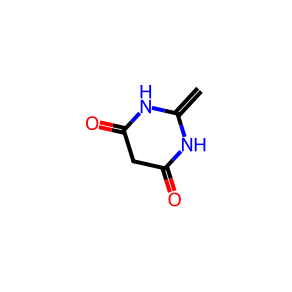 C=C1NC(=O)CC(=O)N1